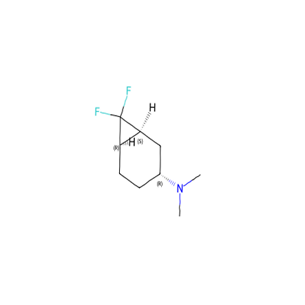 CN(C)[C@@H]1CC[C@@H]2[C@H](C1)C2(F)F